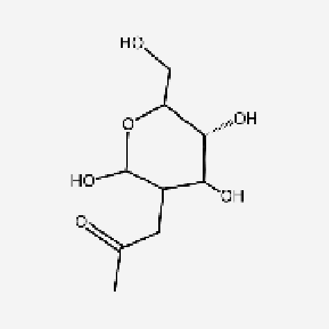 CC(=O)CC1C(O)OC(CO)[C@H](O)C1O